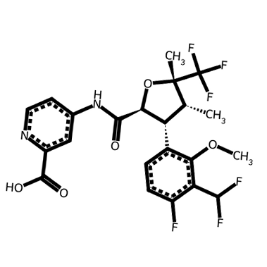 COc1c([C@@H]2[C@@H](C(=O)Nc3ccnc(C(=O)O)c3)O[C@](C)(C(F)(F)F)[C@@H]2C)ccc(F)c1C(F)F